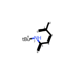 C=C(C)/C=C\C(=C)NC(C)(C)C